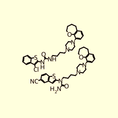 N#Cc1ccc2sc(N(CCCCN3CCN(c4cccc5c4OCCCC5)CC3)C(N)=O)cc2c1.O=C(NCCCCN1CCN(c2cccc3c2OCCCC3)CC1)Nc1sc2ccccc2c1Cl